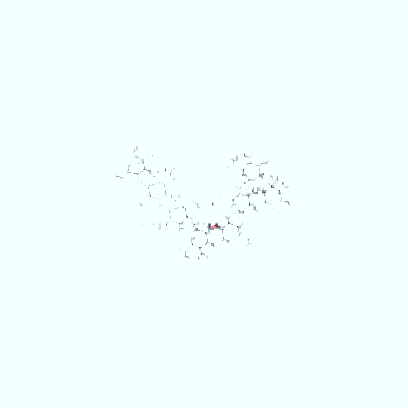 CC(=O)N[C@H]1[C@H](O[C@H]2[C@@H](O)[C@@H](CO)O[C@@H](O[C@H]3[C@H](O)[C@@H](O)[C@H](O)O[C@@H]3CO)[C@@H]2O)O[C@H](CO)[C@@H](O[C@@H]2O[C@H](CO)[C@H](O)[C@H](O[C@@H]3O[C@H](CO)[C@@H](O[C@@H]4O[C@H](CO)[C@H](O)[C@H](O[C@H]5O[C@H](CO)[C@H](O)[C@H](O)[C@H]5O)[C@H]4O[C@@H]4O[C@@H](C)[C@@H](O)[C@@H](O)[C@@H]4O)[C@H](O)[C@H]3NC(C)=O)[C@H]2O)[C@@H]1O